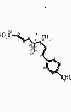 C[C@H](/C=C/c1ccc(C=O)cc1)[C@@H](O)C/C=C/C(=O)O